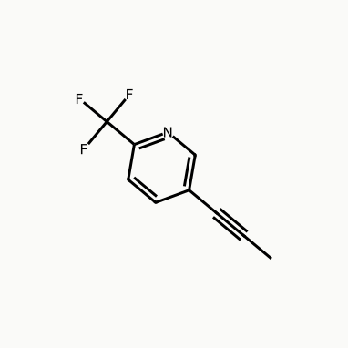 CC#Cc1ccc(C(F)(F)F)nc1